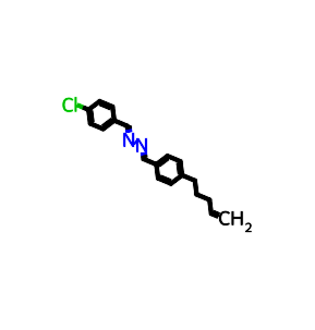 C=CCCCc1ccc(C=NN=Cc2ccc(Cl)cc2)cc1